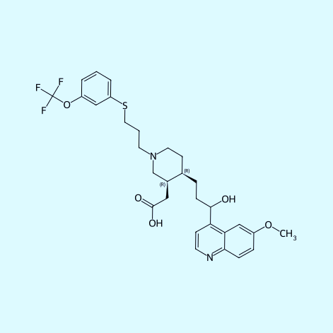 COc1ccc2nccc(C(O)CC[C@@H]3CCN(CCCSc4cccc(OC(F)(F)F)c4)C[C@@H]3CC(=O)O)c2c1